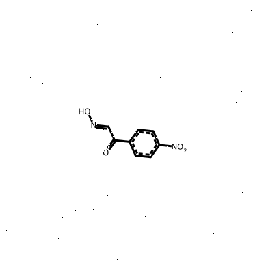 O=C(C=NO)c1ccc([N+](=O)[O-])cc1